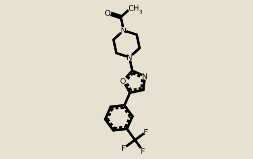 CC(=O)N1CCN(c2ncc(-c3cccc(C(F)(F)F)c3)o2)CC1